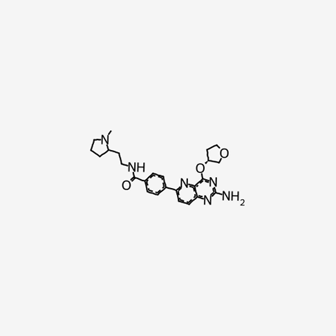 CN1CCCC1CCNC(=O)c1ccc(-c2ccc3nc(N)nc(O[C@H]4CCOC4)c3n2)cc1